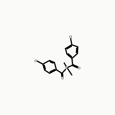 C[Si](C)(C(=O)c1ccc(Cl)cc1)C(=O)c1ccc(Cl)cc1